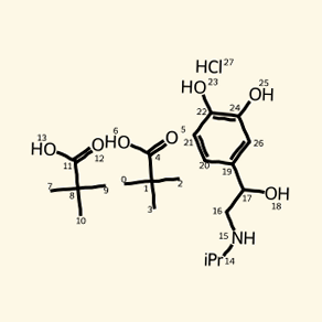 CC(C)(C)C(=O)O.CC(C)(C)C(=O)O.CC(C)NCC(O)c1ccc(O)c(O)c1.Cl